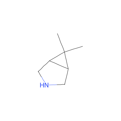 CC1(C)C2CNCC21